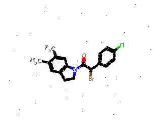 Cc1cc2c(cc1C(F)(F)F)N(C(=O)C(Br)c1ccc(Cl)cc1)CC2